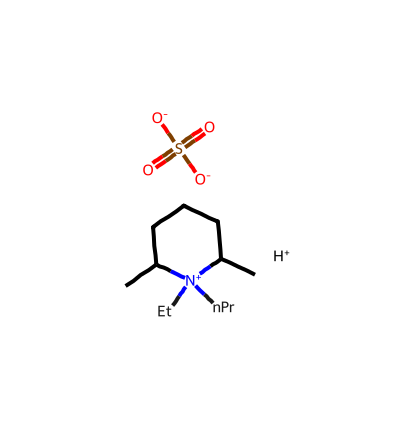 CCC[N+]1(CC)C(C)CCCC1C.O=S(=O)([O-])[O-].[H+]